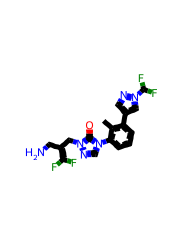 Cc1c(-c2cnn(C(F)F)c2)cccc1-n1cnn(CC(CN)=C(F)F)c1=O